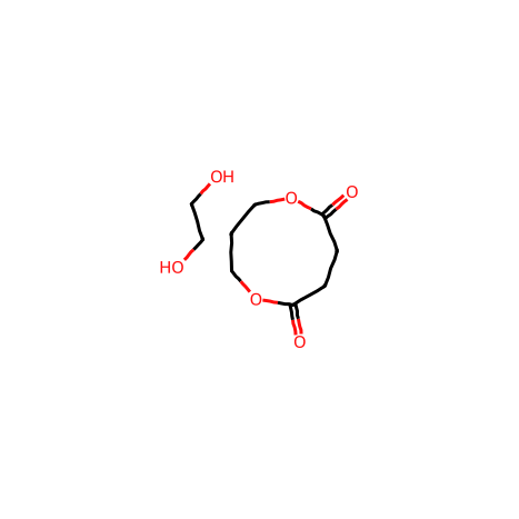 O=C1CCC(=O)OCCCO1.OCCO